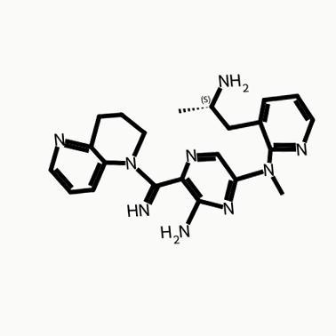 C[C@H](N)Cc1cccnc1N(C)c1cnc(C(=N)N2CCCc3ncccc32)c(N)n1